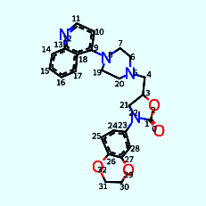 O=C1OC(CN2CCN(c3ccnc4ccccc34)CC2)CN1c1ccc2c(c1)OCCO2